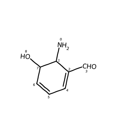 NC1C(C=O)=CC=CC1O